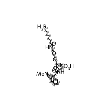 BCCCCCCCCC(=O)NCCOCCOCCNC(=O)[C@H](CS(=O)(=O)O)NC(=O)CCn1c(CN(C)NC)cc2ccccc21